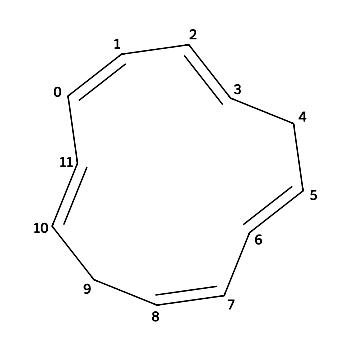 C1=C\C=C\C/C=C/C=C\C/C=C/1